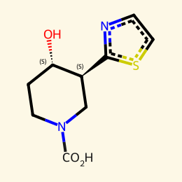 O=C(O)N1CC[C@H](O)[C@@H](c2nccs2)C1